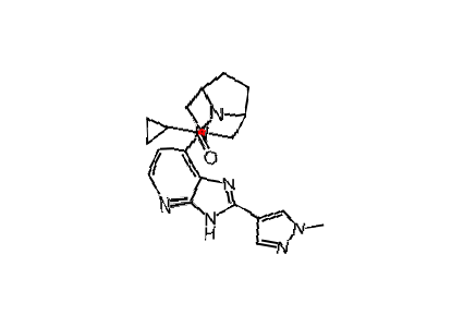 Cn1cc(-c2nc3c(N4CC5CCC(C4)N5C(=O)C4CC4)ccnc3[nH]2)cn1